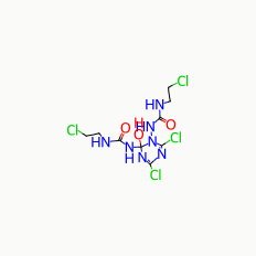 O=C(NCCCl)NN1C(Cl)=NC(Cl)=NC1(O)NC(=O)NCCCl